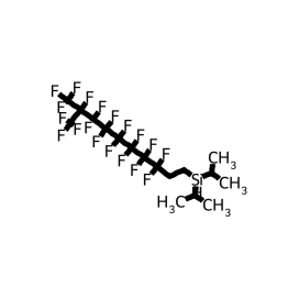 CC(C)[SiH](CCC(F)(F)C(F)(F)C(F)(F)C(F)(F)C(F)(F)C(F)(F)C(F)(C(F)(F)F)C(F)(F)F)C(C)C